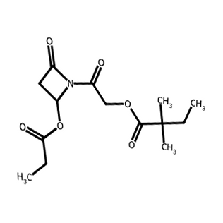 CCC(=O)OC1CC(=O)N1C(=O)COC(=O)C(C)(C)CC